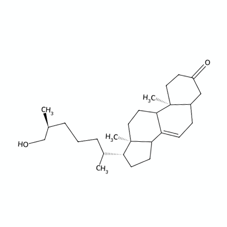 CC(CCC[C@H](C)CO)[C@H]1CCC2C3=CCC4CC(=O)CC[C@]4(C)C3CC[C@@]21C